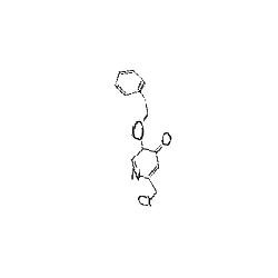 O=C1C=C(CCl)N=CC1OCc1ccccc1